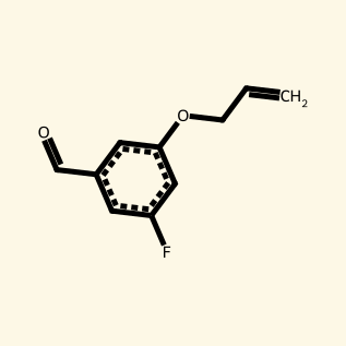 C=CCOc1cc(F)cc(C=O)c1